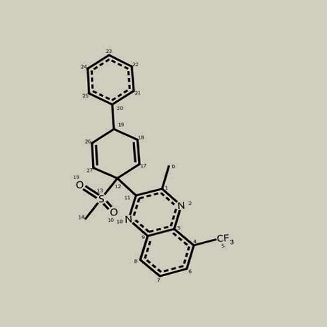 Cc1nc2c(C(F)(F)F)cccc2nc1C1(S(C)(=O)=O)C=CC(c2ccccc2)C=C1